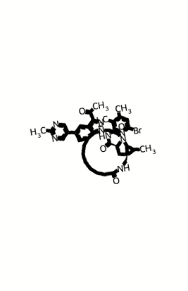 CC(=O)c1nn2c3c(cc(-c4cnc(C)nc4)cc13)CCCCCCC(=O)NC[C@@]13C[C@@H](C(=O)Nc4nc(Br)cc(C)c4C)N(C(=O)C2)C1C3C